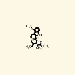 C=C(C(=O)OC)[C@H]1C[C@H]2c3[nH]c4cccc(OC)c4c3CCN2CC1CC